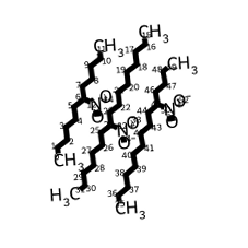 CCCCCCC(CCCCC)[N+](=O)[O-].CCCCCCCCCC(CCCCCCC)[N+](=O)[O-].CCCCCCCCCCC(CCCC)[N+](=O)[O-]